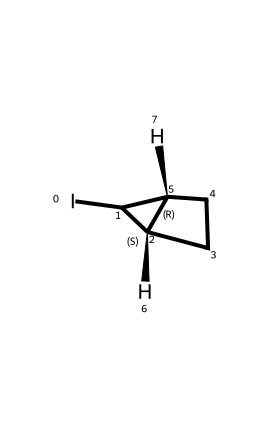 IC1[C@H]2CC[C@@H]12